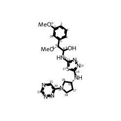 COc1cccc([C@@H](OC)C(O)Nc2nnc(N[C@@H]3CCN(c4cncnn4)C3)s2)c1